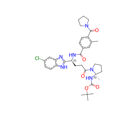 Cc1cc(C(=O)N[C@@H](CCC(=O)N2CCC[C@@]2(C)NC(=O)OC(C)(C)C)c2nc3cc(Cl)ccc3[nH]2)ccc1C(=O)N1CCCC1